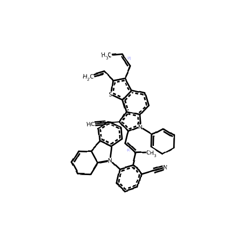 C#Cc1c(/C=C(\C)c2c(C#N)cccc2N2c3ccccc3C3C=CCCC32)n(C2=CCCC=C2)c2ccc3c(/C=C\C)c(C=C)sc3c12